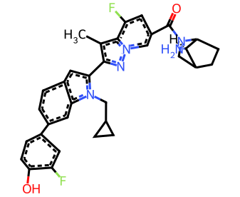 Cc1c(-c2cc3ccc(-c4ccc(O)c(F)c4)cc3n2CC2CC2)nn2cc(C(=O)N3CC4CCC3[C@@H]4N)cc(F)c12